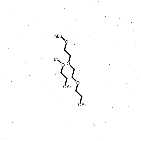 CCCCOCCOCCOCCOC(C)=O.CCOCCOC(C)=O